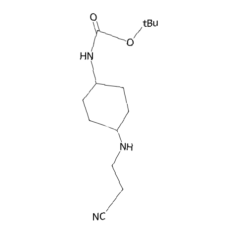 CC(C)(C)OC(=O)NC1CCC(NCCC#N)CC1